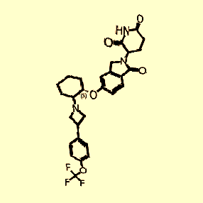 O=C1CCC(N2Cc3cc(O[C@H]4CCCCC4N4CC(c5ccc(OC(F)(F)F)cc5)C4)ccc3C2=O)C(=O)N1